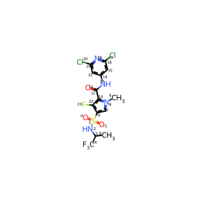 CC(NS(=O)(=O)c1cn(C)c(C(=O)Nc2cc(Cl)nc(Cl)c2)c1F)C(F)(F)F